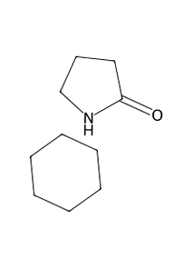 C1CCCCC1.O=C1CCCN1